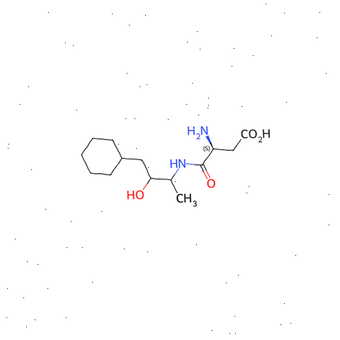 CC(NC(=O)[C@@H](N)CC(=O)O)C(O)CC1CCCCC1